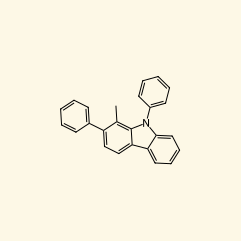 Cc1c(-c2ccccc2)ccc2c3ccccc3n(-c3ccccc3)c12